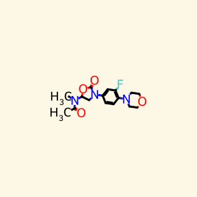 CC(=O)N(C)C1CN(c2ccc(N3CCOCC3)c(F)c2)C(=O)O1